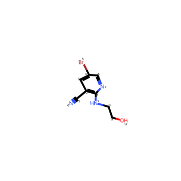 N#Cc1cc(Br)cnc1NCCO